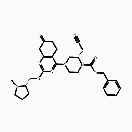 CN1CCC[C@H]1COc1nc2c(c(N3CCN(C(=O)OCc4ccccc4)[C@@H](CC#N)C3)n1)CCC(=O)C2